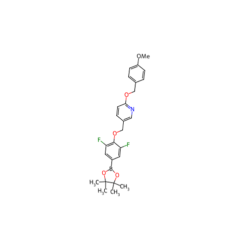 COc1ccc(COc2ccc(COc3c(F)cc(B4OC(C)(C)C(C)(C)O4)cc3F)cn2)cc1